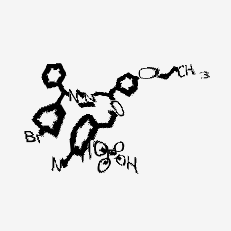 CCCOc1ccc(C(Cn2cc[n+](C(c3ccccc3)c3ccc(Br)cc3)c2)OCCc2ccc(C#N)cc2)cc1.O=P([O-])(O)O